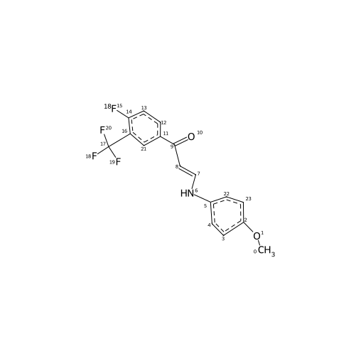 COc1ccc(NC=CC(=O)c2ccc([18F])c(C(F)(F)F)c2)cc1